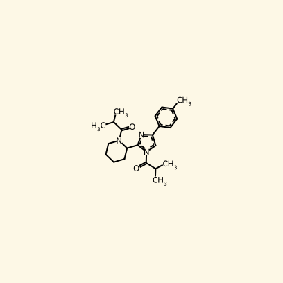 Cc1ccc(-c2cn(C(=O)C(C)C)c(C3CCCCN3C(=O)C(C)C)n2)cc1